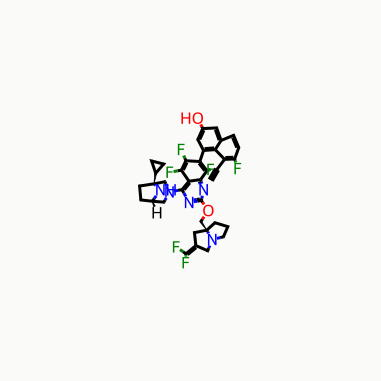 C#Cc1c(F)ccc2cc(O)cc(-c3c(F)c(F)c4c(N5C[C@@H]6CC[C@](C7CC7)(C5)N6)nc(OC[C@@]56CCCN5CC(=C(F)F)C6)nc4c3F)c12